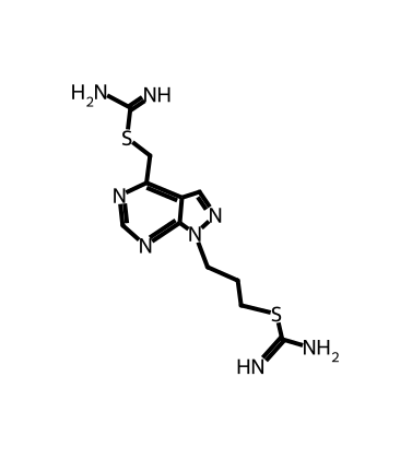 N=C(N)SCCCn1ncc2c(CSC(=N)N)ncnc21